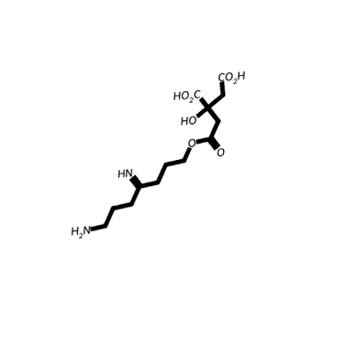 N=C(CCCN)CCCOC(=O)CC(O)(CC(=O)O)C(=O)O